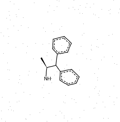 C[C@H]([NH])C(c1ccccc1)c1ccccc1